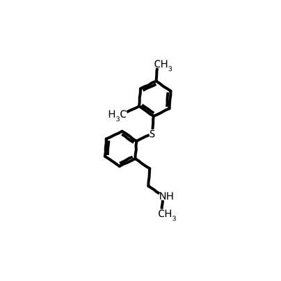 CNCCc1ccccc1Sc1ccc(C)cc1C